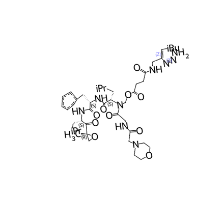 CCC(C)/C=C(CNC(=O)CCC(=O)OCN(C(=O)CNC(=O)CN1CCOCC1)[C@@H](CC(C)C)C(=O)N[C@@H](Cc1ccccc1)C(=O)N[C@@H](CC(C)C)C(=O)[C@@]1(C)CO1)\N=N/N